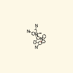 C#CC1C(/C=C(\C)C#N)c2cc(C#N)ccc2N1c1cc(-c2ccccc2-c2ccccc2C#N)cc(-n2c3ccccc3c3ccccc32)c1